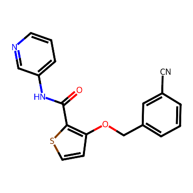 N#Cc1cccc(COc2ccsc2C(=O)Nc2cccnc2)c1